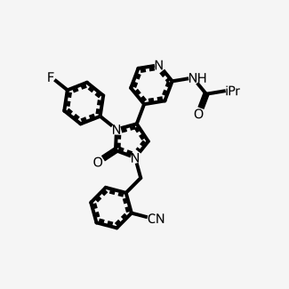 CC(C)C(=O)Nc1cc(-c2cn(Cc3ccccc3C#N)c(=O)n2-c2ccc(F)cc2)ccn1